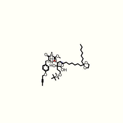 CC#CCOc1ccc(C[C@H](NC(=O)[C@@H](/C=C/CCCCCCC2(CCCCCCC)OCCO2)[C@@](O)(CCO[Si](C)(C)C(C)(C)C)C(=O)O)C(=O)N(C)C(=O)OC)cc1